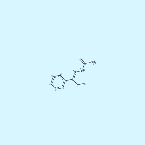 CCC(=NNC(N)=S)c1ccccc1